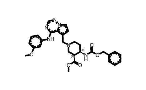 COC(=O)[C@H]1CN(Cc2ccn3ncnc(Nc4cccc(OC)c4)c23)CC[C@H]1NC(=O)OCc1ccccc1